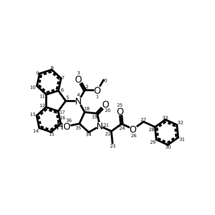 COC(=O)N(C1c2ccccc2-c2ccccc21)C1C(=O)N(C(C)C(=O)OCc2ccccc2)CC1O